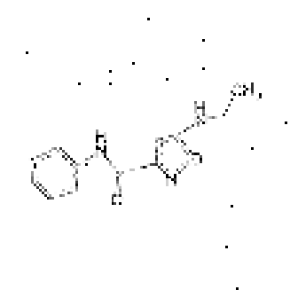 CCNc1cc(C(=O)Nc2ccccc2)no1